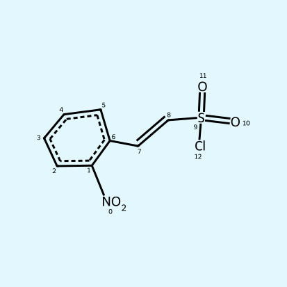 O=[N+]([O-])c1ccccc1C=CS(=O)(=O)Cl